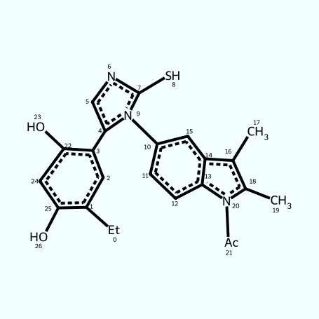 CCc1cc(-c2cnc(S)n2-c2ccc3c(c2)c(C)c(C)n3C(C)=O)c(O)cc1O